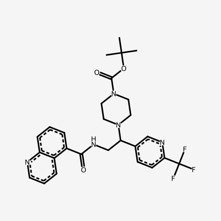 CC(C)(C)OC(=O)N1CCN(C(CNC(=O)c2cccc3ncccc23)c2ccc(C(F)(F)F)nc2)CC1